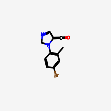 Cc1cc(Br)ccc1N1CN=CC1=C=O